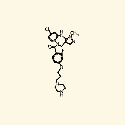 Cn1ncc2c1Nc1cc(Cl)ccc1N(C(=O)c1ccc(OCCCN3CCNCC3)cc1F)C2